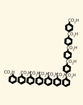 O=C(O)c1ccccc1.O=C(O)c1ccccc1.O=C(O)c1ccccc1.O=C(O)c1ccccc1.O=C(O)c1ccccc1.O=C(O)c1ccccc1.O=C(O)c1ccccc1.O=C(O)c1ccccc1.O=C(O)c1ccccc1.O=C(O)c1ccccc1.O=C(O)c1ccccc1